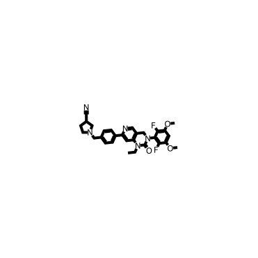 CCN1C(=O)N(c2c(F)c(OC)cc(OC)c2F)Cc2cnc(-c3ccc(CN4CCC(C#N)C4)cc3)cc21